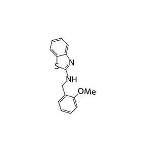 COc1ccccc1CNc1nc2ccccc2s1